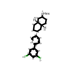 CCCCCCC1CC[C@@H]2C[C@H](c3ccc(-c4cc(F)cc(F)c4)cc3)CC[C@@H]2C1